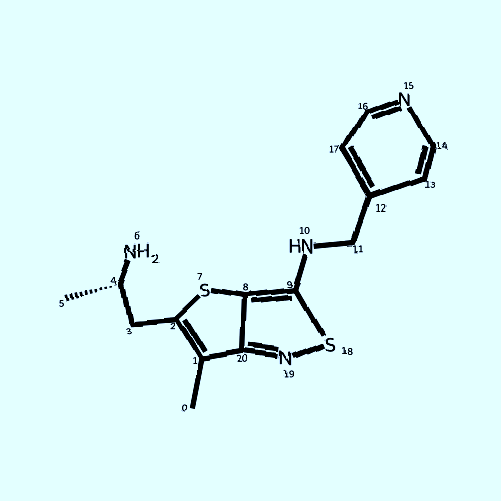 Cc1c(C[C@H](C)N)sc2c(NCc3ccncc3)snc12